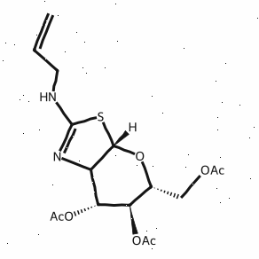 C=CCNC1=NC2[C@@H](OC(C)=O)[C@H](OC(C)=O)[C@@H](COC(C)=O)O[C@H]2S1